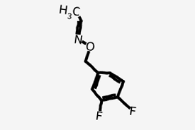 C/C=N/OCc1ccc(F)c(F)c1